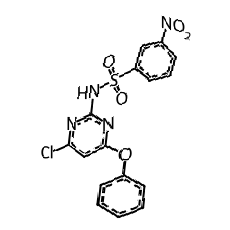 O=[N+]([O-])c1cccc(S(=O)(=O)Nc2nc(Cl)cc(Oc3ccccc3)n2)c1